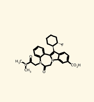 CN(C)C(=O)CN1C(=O)Cn2c(c([C@H]3CCCC[C@@H]3F)c3ccc(C(=O)O)cc32)-c2ccccc21